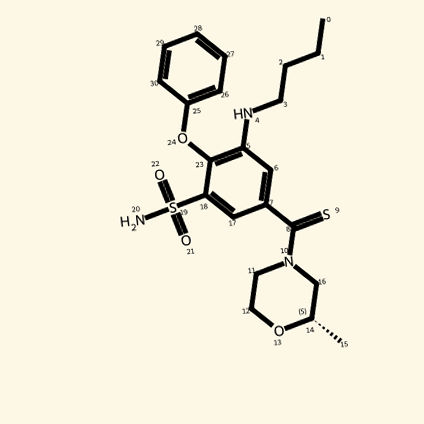 CCCCNc1cc(C(=S)N2CCO[C@@H](C)C2)cc(S(N)(=O)=O)c1Oc1ccccc1